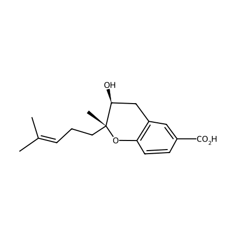 CC(C)=CCC[C@@]1(C)Oc2ccc(C(=O)O)cc2C[C@@H]1O